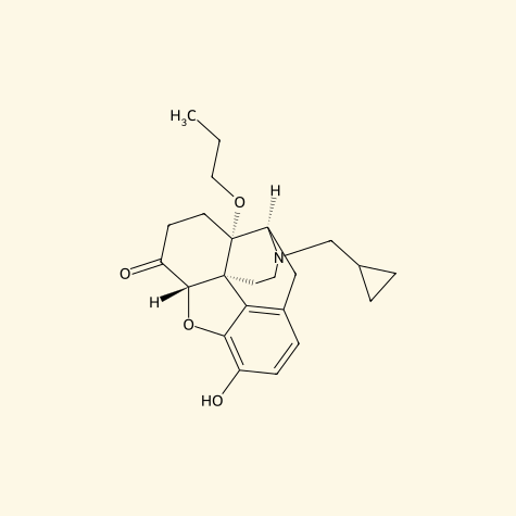 CCCO[C@@]12CCC(=O)[C@H]3Oc4c(O)ccc5c4[C@@]31CCN(CC1CC1)[C@@H]2C5